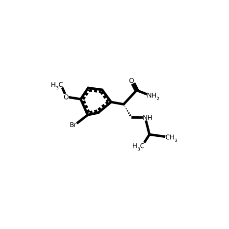 COc1ccc([C@@H](CNC(C)C)C(N)=O)cc1Br